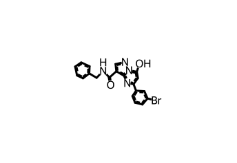 O=C(NCc1ccccc1)c1cnn2c(O)cc(-c3cccc(Br)c3)nc12